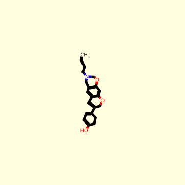 CCCCN1COc2cc3c(cc2C1)C=C(C1=CC=C(O)CC1)CO3